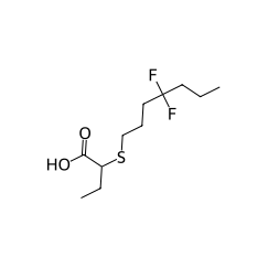 CCCC(F)(F)CCCSC(CC)C(=O)O